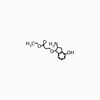 CCOC(=O)CCOC1c2cccc(O)c2CC1N